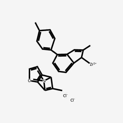 CC1=C2c3occc3C1[Si]2(C)C.CC1=Cc2c(-c3ccc(C)cc3)cccc2[CH]1[Zr+2].[Cl-].[Cl-]